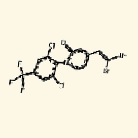 O=c1cc(C=C(Br)Br)ccn1-c1c(Cl)cc(C(F)(F)F)cc1Cl